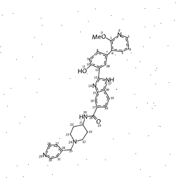 COc1ncccc1-c1ccc(O)c(-c2nc3cc(C(=O)NC4CCN(Cc5ccncc5)CC4)ccc3[nH]2)c1